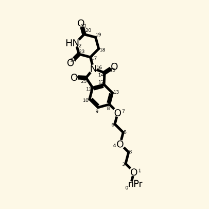 CCCOCCOCCOc1ccc2c(c1)C(=O)N(C1CCC(=O)NC1=O)C2=O